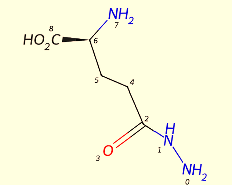 NNC(=O)CC[C@H](N)C(=O)O